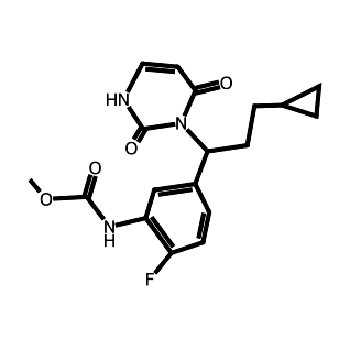 COC(=O)Nc1cc(C(CCC2CC2)n2c(=O)cc[nH]c2=O)ccc1F